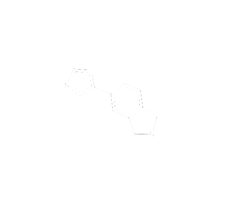 O=C(O)N1Cc2ccc(-c3cnco3)cc2C1